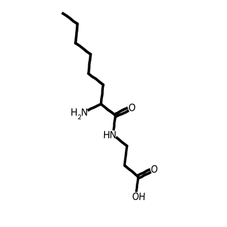 CCCCCCC(N)C(=O)NCCC(=O)O